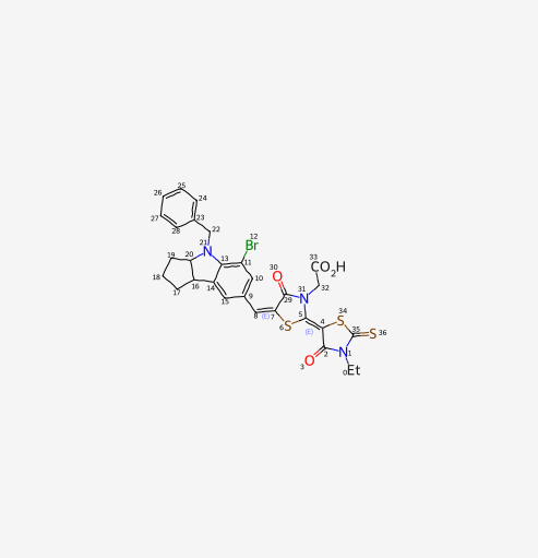 CCN1C(=O)/C(=c2\s/c(=C/c3cc(Br)c4c(c3)C3CCCC3N4Cc3ccccc3)c(=O)n2CC(=O)O)SC1=S